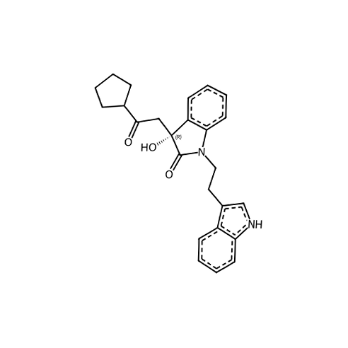 O=C(C[C@]1(O)C(=O)N(CCc2c[nH]c3ccccc23)c2ccccc21)C1CCCC1